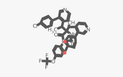 CC(c1ccncc1-c1ccc(Cl)cc1)C1(C(C)c2ccncc2-c2ccc(Cl)cc2)NC(=O)N(c2ccc(OC(F)(F)F)cc2)C1=O